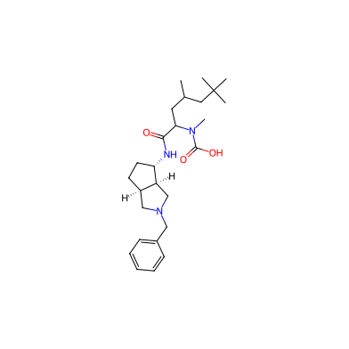 CC(CC(C(=O)N[C@H]1CC[C@@H]2CN(Cc3ccccc3)C[C@@H]21)N(C)C(=O)O)CC(C)(C)C